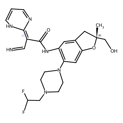 C[C@]1(CO)Cc2cc(NC(=O)/C(C=N)=C3\N=CC=CN3)c(N3CCN(CC(F)F)CC3)cc2O1